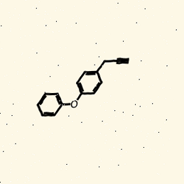 C#CCc1ccc(Oc2ccccc2)cc1